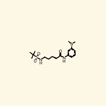 CN(C)c1cccc(NC(=O)CCCCNS(=O)(=O)C(C)(C)C)c1